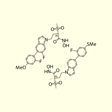 COc1ccc(-c2cc3ccn(CC[C@](C)(C(=O)NO)S(C)(=O)=O)c3cc2F)c(F)c1.CSc1ccc(-c2ccc3c(ccn3CC[C@](C)(C(=O)NO)S(C)(=O)=O)c2)c(F)c1